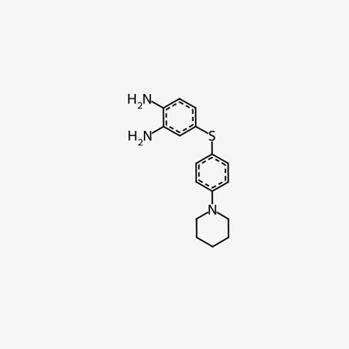 Nc1ccc(Sc2ccc(N3CCCCC3)cc2)cc1N